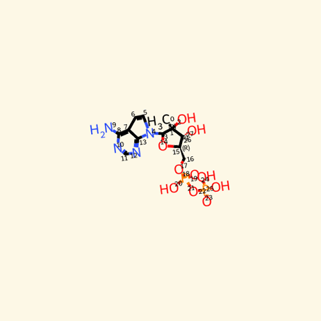 C[C@]1(O)C(n2ccc3c(N)ncnc32)O[C@H](COP(=O)(O)OP(=O)(O)O)[C@H]1O